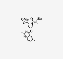 COC(=O)C1CC(Oc2nc(C)nc3ccc(C)cc23)CN1C(=O)[C@@H](C)C(C)(C)C